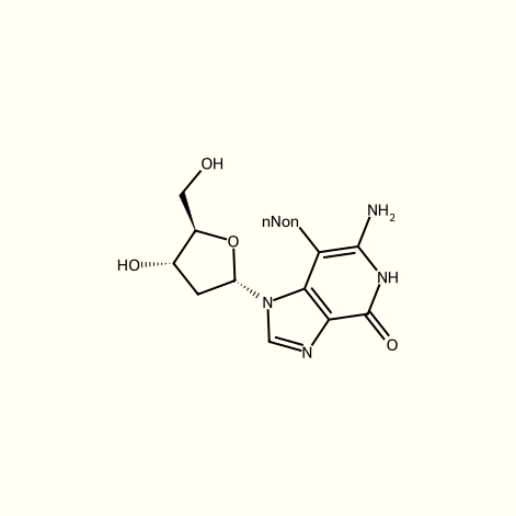 CCCCCCCCCc1c(N)[nH]c(=O)c2ncn([C@@H]3C[C@H](O)[C@@H](CO)O3)c12